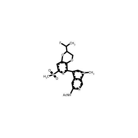 CC(=O)Nc1cc2c(-c3nc(S(C)(=O)=O)cc4c3OCC(C(C)F)O4)cn(C)c2cn1